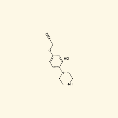 C#CCOc1ccc(N2CCNCC2)cc1.Cl